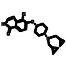 O=c1[nH]ccc2c(Cl)c(O[C@H]3CC[C@@H](N(CC4CC4)CC4CC4)CC3)ccc12